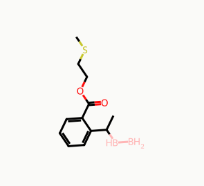 BBC(C)c1ccccc1C(=O)OCCSC